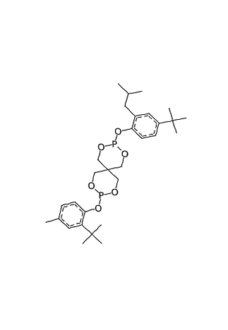 Cc1ccc(OP2OCC3(COP(Oc4ccc(C(C)(C)C)cc4CC(C)C)OC3)CO2)c(C(C)(C)C)c1